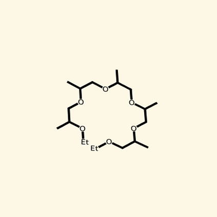 CCOCC(C)OCC(C)OCC(C)OCC(C)OCC(C)OCC